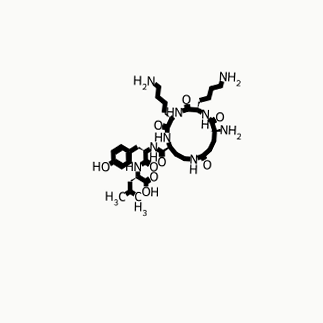 CC(C)C[C@H](NC(=O)[C@H](Cc1ccc(O)cc1)NC(=O)[C@@H]1CCNC(=O)CC[C@H](N)C(=O)N[C@@H](CCCCN)C(=O)N[C@@H](CCCCN)C(=O)N1)C(=O)O